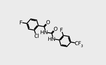 O=C(NC(=O)c1ccc(F)cc1Cl)Nc1ccc(C(F)(F)F)cc1F